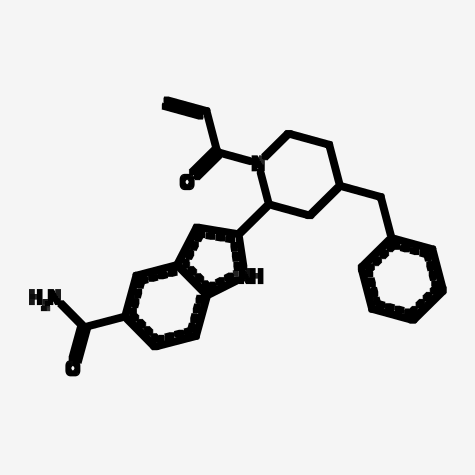 C=CC(=O)N1CCC(Cc2ccccc2)CC1c1cc2cc(C(N)=O)ccc2[nH]1